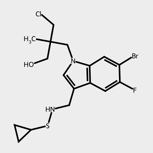 CC(CO)(CCl)Cn1cc(CNSC2CC2)c2cc(F)c(Br)cc21